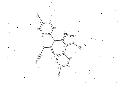 Cc1n[nH]c(C(C(=O)CC#N)c2ccc(Cl)cc2)c1-c1ccc(Cl)cc1